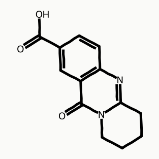 O=C(O)c1ccc2nc3n(c(=O)c2c1)CCCC3